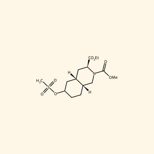 CCOC(=O)[C@@H]1C[C@H]2CC(OS(C)(=O)=O)CC[C@H]2CN1C(=O)OC